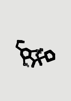 CCOP(=O)(C(=O)c1c(C)cc(COC)cc1C)c1ccccc1